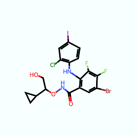 O=C(NOC(CO)C1CC1)c1cc(Br)c(F)c(F)c1Nc1ccc(I)cc1Cl